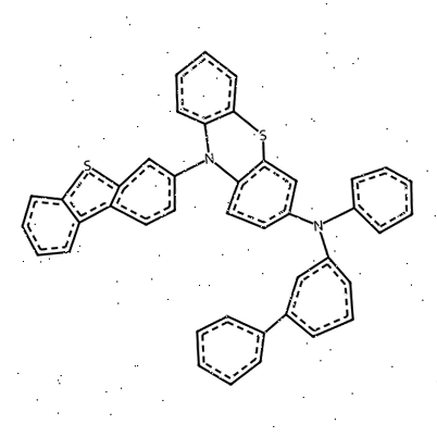 c1ccc(-c2cccc(N(c3ccccc3)c3ccc4c(c3)Sc3ccccc3N4c3ccc4c(c3)sc3ccccc34)c2)cc1